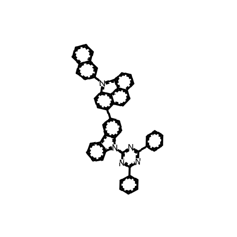 c1ccc(-c2nc(-c3ccccc3)nc(-n3c4ccccc4c4cc(-c5ccc6c7c5ccc5cccc(c57)n6-c5ccc6ccccc6c5)ccc43)n2)cc1